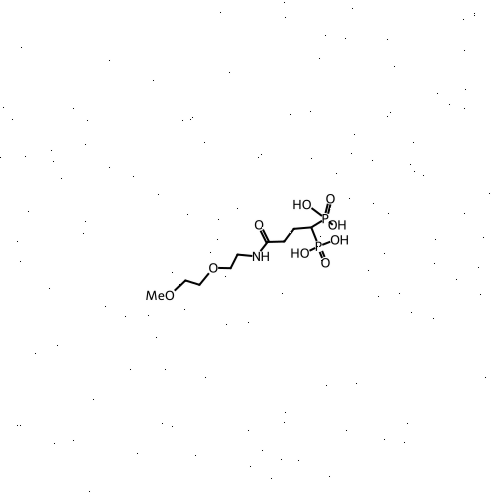 COCCOCCNC(=O)CCC(P(=O)(O)O)P(=O)(O)O